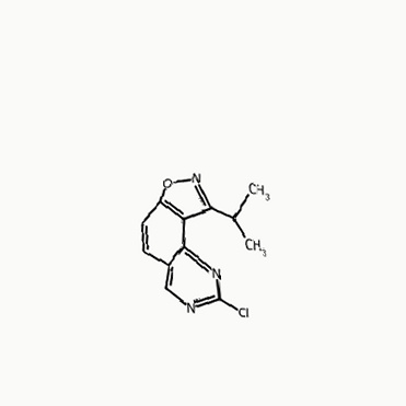 CC(C)c1noc2ccc3cnc(Cl)nc3c12